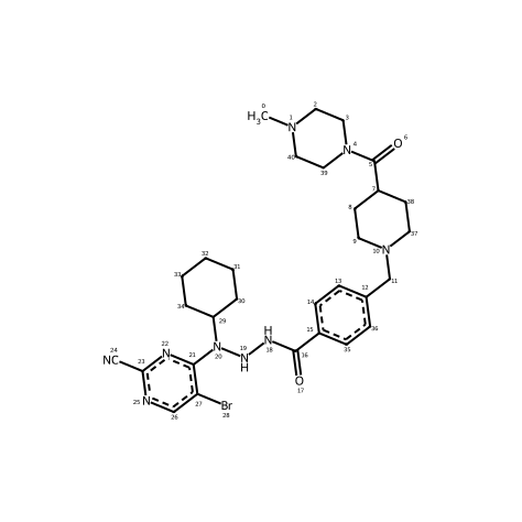 CN1CCN(C(=O)C2CCN(Cc3ccc(C(=O)NNN(c4nc(C#N)ncc4Br)C4CCCCC4)cc3)CC2)CC1